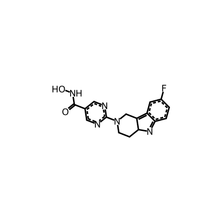 O=C(NO)c1cnc(N2CCC3N=c4ccc(F)cc4=C3C2)nc1